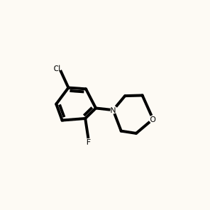 Fc1ccc(Cl)cc1N1CCOCC1